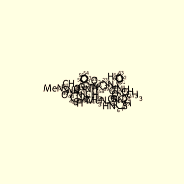 CNCC(=O)N[C@H]1CCS[C@H]2CC(C)(C)[C@@H](C(=O)N[C@H](C(=O)N[C@H]3CC[C@H](NC(=O)C(NC(=O)[C@H]4N5C(=O)[C@@H](NC(=O)[C@H](C)NC)CCS[C@H]5CC4(C)C)c4ccccc4)CC3)c3ccccc3)N2C1=O